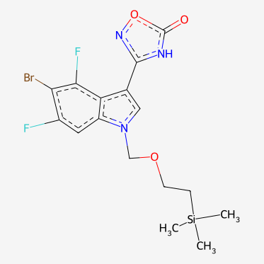 C[Si](C)(C)CCOCn1cc(-c2noc(=O)[nH]2)c2c(F)c(Br)c(F)cc21